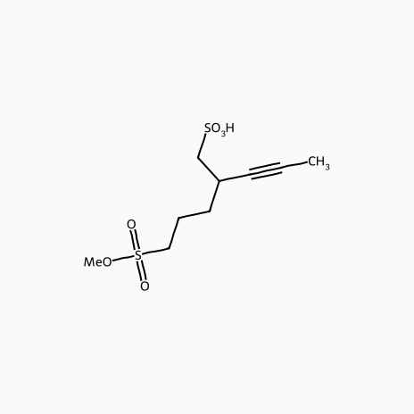 CC#CC(CCCS(=O)(=O)OC)CS(=O)(=O)O